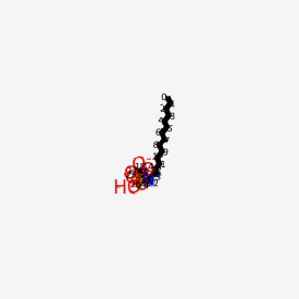 CCCCCCCCCCCCC(C)OC(C(=O)[O-])([N+](C)(C)C)S(=O)(=O)O